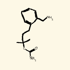 CC(C)(CCc1ccccc1CN)OC(N)=O